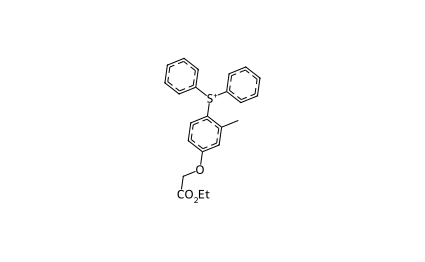 CCOC(=O)COc1ccc([S+](c2ccccc2)c2ccccc2)c(C)c1